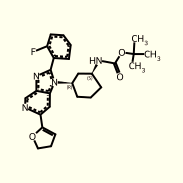 CC(C)(C)OC(=O)N[C@H]1CCC[C@@H](n2c(-c3ccccc3F)nc3cnc(C4=CCCO4)cc32)C1